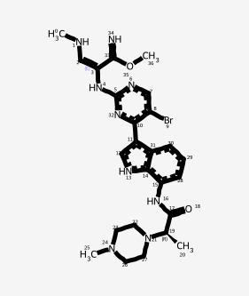 CN/C=C(/Nc1ncc(Br)c(-c2c[nH]c3c(NC(=O)[C@@H](C)N4CCN(C)CC4)cccc23)n1)C(=N)OC